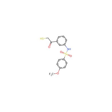 O=C(CS)c1cccc(NS(=O)(=O)c2ccc(OC(F)(F)F)cc2)c1